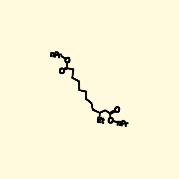 CCCOC(=O)CCCCCCCCC(CC)CC(=O)OCCC